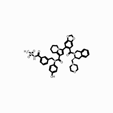 CS(=O)(=O)NC(=O)c1cccc(CN(C(=O)c2cc(-c3cc4c(cc3C(=O)N3Cc5ccccc5C[C@H]3CN3CCOCC3)OCO4)n3c2CCCC3)c2ccc(O)cc2)c1